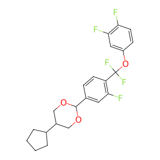 Fc1ccc(OC(F)(F)c2ccc(C3OCC(C4CCCC4)CO3)cc2F)cc1F